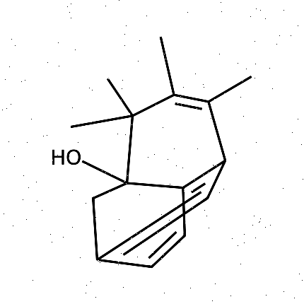 CC1=C(C)C(C)(C)C2(O)Cc3ccc2c1c3